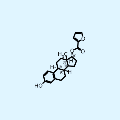 C[C@]12CC[C@@H]3c4ccc(O)cc4CC[C@H]3[C@@H]1CC[C@@H]2OC(=O)c1ccco1